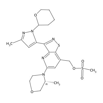 Cc1cc(-c2nsc3c(COS(C)(=O)=O)cc(N4CCOC[C@H]4C)nc23)n(C2CCCCO2)n1